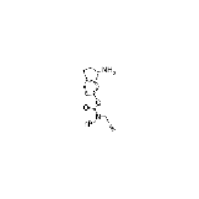 C#CCN(CCC)C(=O)Oc1ccc2c(c1)C(N)CC2